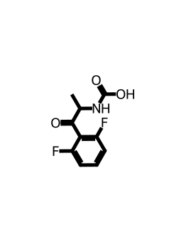 CC(NC(=O)O)C(=O)c1c(F)cccc1F